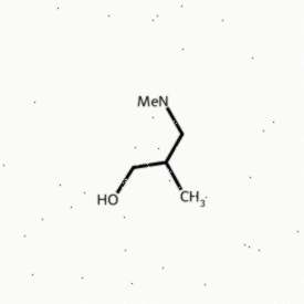 CNCC(C)CO